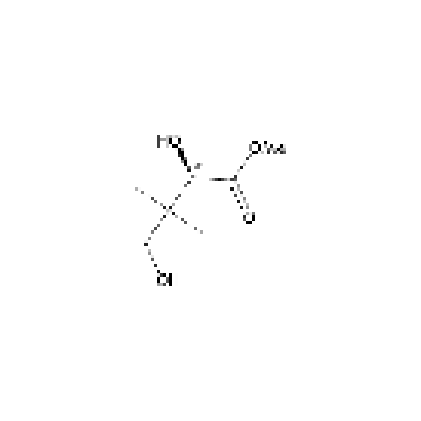 COC(=O)[C@H](O)C(C)(C)CO